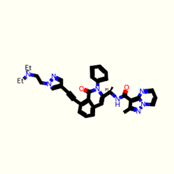 CCN(CC)CCn1cc(C#Cc2cccc3cc([C@@H](C)NC(=O)c4c(C)nn5cccnc45)n(-c4ccccc4)c(=O)c23)cn1